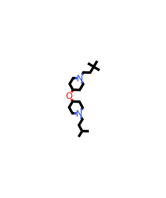 CC(C)CCN1CCC(OC2CCN(CCC(C)(C)C)CC2)CC1